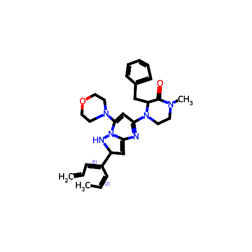 C=C/C=C(\C=C/C)C1C=C2N=C(N3CCN(C)C(=O)C3Cc3ccccc3)C=C(N3CCOCC3)N2N1